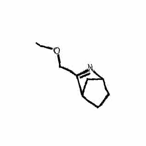 COCC1=NC2CCC1C2